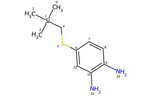 C[Si](C)(C)CSc1ccc(N)c(N)c1